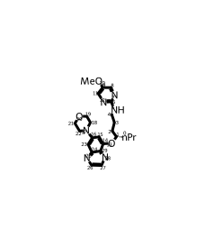 CCC[C@@H](CCCNc1ncc(OC)cn1)Oc1cc(N2CCOCC2)cc2nccnc12